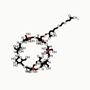 CN[C@H](CSCC1O[C@H]2O[C@@H]3C(CO)O[C@H](O[C@@H]4C(CO)O[C@H](O[C@@H]5C(CO)OC(O[C@@H]6C(CSC[C@@H](CC(=O)CCOCCOCCC(C)=O)C(=O)O)O[C@H](O[C@@H]7C(CO)O[C@@H](O[C@@H]8C(CO)O[C@@H](O[C@H]1[C@H](O)C2O)C(O)[C@H]8O)C(O)[C@H]7O)C(O)[C@H]6O)C(O)[C@H]5O)C(O)[C@H]4O)[C@@H](O)C3O)C(=O)O